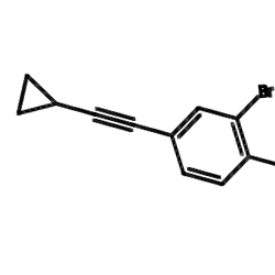 Cc1ccc(C#CC2CC2)cc1Br